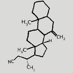 C=C1CC2CCCCC2(C)C2CCC3(C)C([C@H](C)CC#N)CC[C@H]3C12